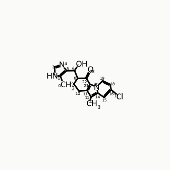 Cc1[nH]cnc1C(O)C1CCc2c(C)c3cc(Cl)ccn3c2C1=O